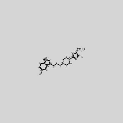 CCOC(=O)c1sc(N2CCN(CCCc3c[nH]c4ccc(F)cc34)CC2)nc1C